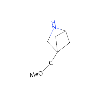 COCC12CNC(C1)C2